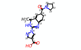 C=C1NC(n2cc(C(=O)O)cn2)=NC2=CCC(C(=O)N3CCCC3)C=C12